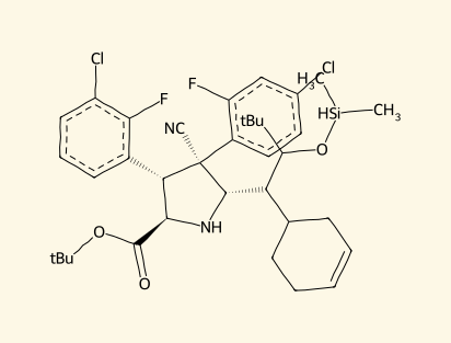 C[SiH](C)OC(C(C1CC=CCC1)[C@@H]1N[C@@H](C(=O)OC(C)(C)C)[C@H](c2cccc(Cl)c2F)[C@@]1(C#N)c1ccc(Cl)cc1F)C(C)(C)C